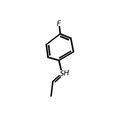 CC=[SH]c1ccc(F)cc1